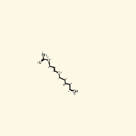 NC(=O)OCCCOCCCCCO